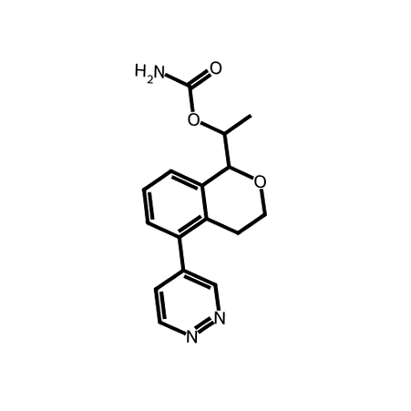 CC(OC(N)=O)C1OCCc2c(-c3ccnnc3)cccc21